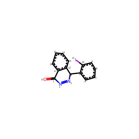 O=C1N=NC(c2ccccc2I)c2ccccc21